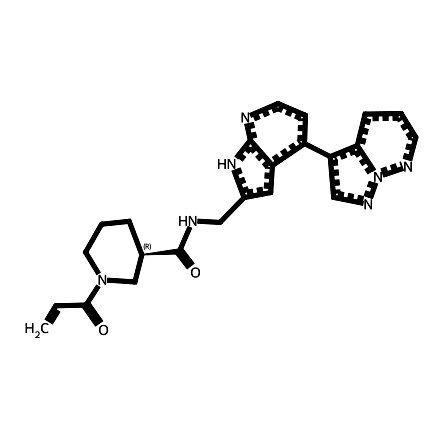 C=CC(=O)N1CCC[C@@H](C(=O)NCc2cc3c(-c4cnn5ncccc45)ccnc3[nH]2)C1